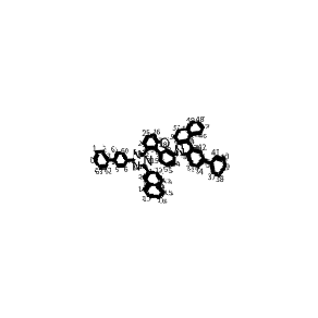 c1ccc(-c2ccc(-c3nc(-c4ccc5ccccc5c4)nc(-c4cccc5oc6c(-n7c8ccc(-c9ccccc9)cc8c8c9ccccc9ccc87)cccc6c45)n3)cc2)cc1